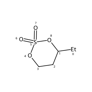 CCC1CCOS(=O)(=O)O1